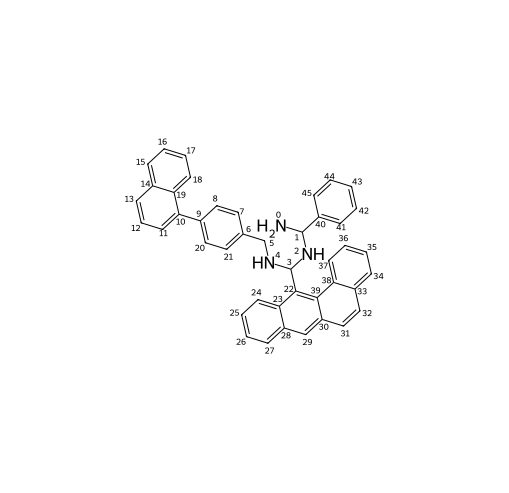 NC(NC(NCc1ccc(-c2cccc3ccccc23)cc1)c1c2ccccc2cc2ccc3ccccc3c12)c1ccccc1